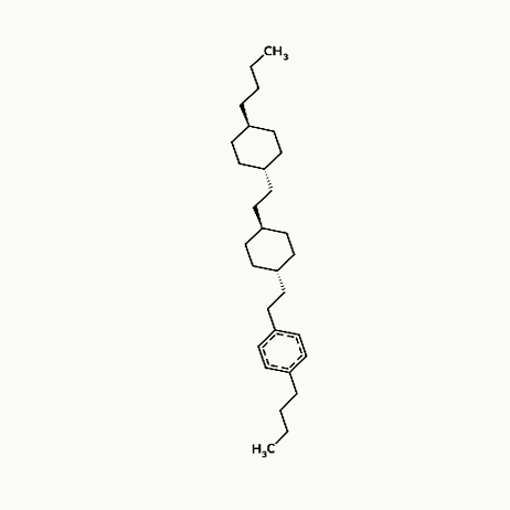 CCCCc1ccc(CC[C@H]2CC[C@H](CC[C@H]3CC[C@H](CCCC)CC3)CC2)cc1